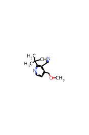 COCc1ccnc(C(C)(C)C)c1C#N